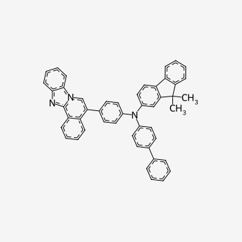 CC1(C)c2ccccc2-c2ccc(N(c3ccc(-c4ccccc4)cc3)c3ccc(-c4cn5c6ccccc6nc5c5ccccc45)cc3)cc21